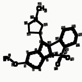 CC(C)Oc1ccc2c(c1)c(C1CCN(C)C1)c1n2S(=O)(=O)c2ccccc2-1